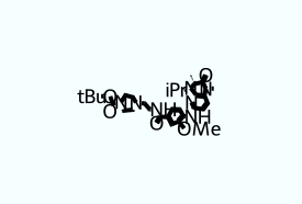 COc1cc(C(=O)NCCN2CCN(C(=O)OC(C)(C)C)CC2)ccc1Nc1ccc2c(n1)N(C(C)C)[C@H](C)C(=O)N2C